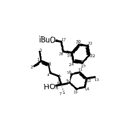 CC(C)=CCC[C@](C)(O)[C@H]1CC=C(C)CC1.CC(C)COCCc1ccccc1